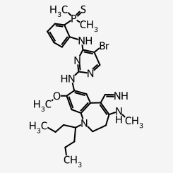 CCCC(CCC)N1CCC(NC)=C(C=N)c2cc(Nc3ncc(Br)c(Nc4ccccc4P(C)(C)=S)n3)c(OC)cc21